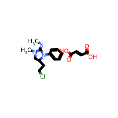 CN=C1N(C)CC(CCCl)N1c1ccccc1.O=C(O)/C=C/C(=O)O